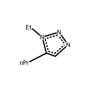 CCCc1cnnn1CC